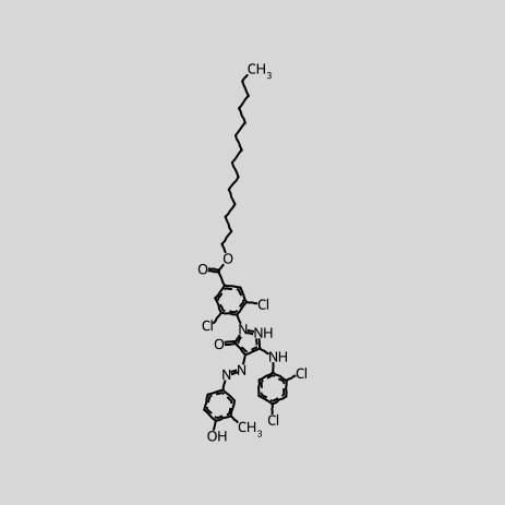 CCCCCCCCCCCCCCOC(=O)c1cc(Cl)c(-n2[nH]c(Nc3ccc(Cl)cc3Cl)c(N=Nc3ccc(O)c(C)c3)c2=O)c(Cl)c1